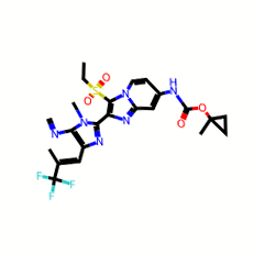 C=Nc1c(/C=C(\C)C(F)(F)F)nc(-c2nc3cc(NC(=O)OC4(C)CC4)ccn3c2S(=O)(=O)CC)n1C